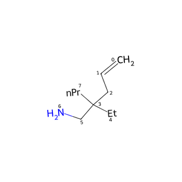 C=CCC(CC)(CN)CCC